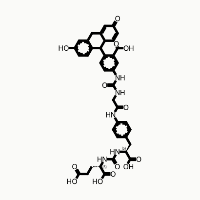 O=C1C=CC2C(=C1)Cc1cc(O)ccc1C2c1ccc(NC(=O)NCC(=O)Nc2ccc(C[C@H](NC(=O)N[C@@H](CCC(=O)O)C(=O)O)C(=O)O)cc2)cc1C(=O)O